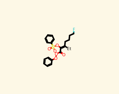 CCC(CCCCF)=C(OS(=O)(=O)c1ccccc1)C(=O)OOc1ccccc1